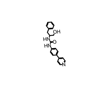 O=C(Nc1ccc(-c2ccncc2)cc1)NC(CO)Cc1ccccc1